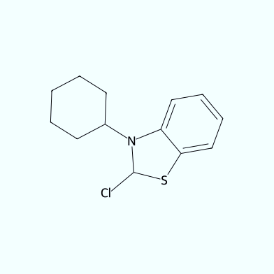 ClC1Sc2ccccc2N1C1CCCCC1